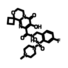 CN1CCN(S(=O)(=O)c2cc(F)ccc2CNC(=O)c2nc3n(c(=O)c2O)CCOC32CCC2)CC1